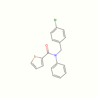 O=C(c1cccs1)N(Cc1ccc(Br)cc1)c1ccccc1